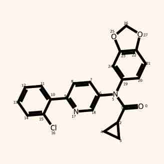 O=C(C1CC1)N(c1ccc(-c2ccccc2Cl)nc1)c1ccc2c(c1)OCO2